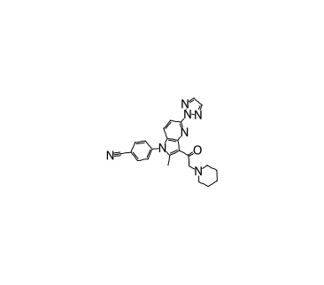 Cc1c(C(=O)CN2CCCCC2)c2nc(-n3nccn3)ccc2n1-c1ccc(C#N)cc1